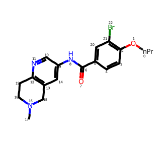 CCCOc1ccc(C(=O)Nc2cnc3c(c2)CN(C)CC3)cc1Br